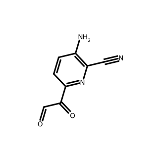 N#Cc1nc(C(=O)C=O)ccc1N